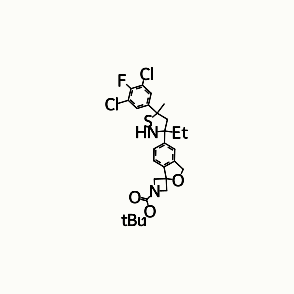 CCC1(c2ccc3c(c2)COC32CN(C(=O)OC(C)(C)C)C2)CC(C)(c2cc(Cl)c(F)c(Cl)c2)SN1